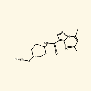 CCCCCOC1CCC(NC(=O)c2cnn3c(C)cc(C)nc23)CC1